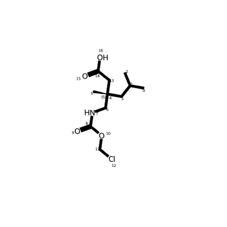 CC(C)C[C@](C)(CNC(=O)OCCl)CC(=O)O